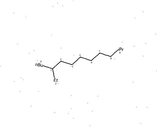 CCCCC(CC)C[CH]CCCCC(C)C